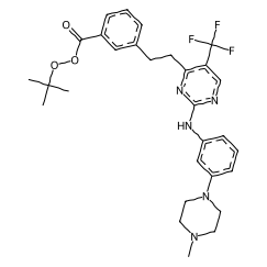 CN1CCN(c2cccc(Nc3ncc(C(F)(F)F)c(CCc4cccc(C(=O)OOC(C)(C)C)c4)n3)c2)CC1